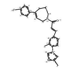 Cc1cn(-c2ccc(/C=C/C(=O)N3CC=C(c4ccc(F)cc4)CCC3)cc2C)cn1